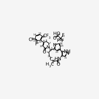 C[C@@H]1CCC[C@H](N2CCC(c3c(C(F)(F)F)ccc(Cl)c3F)=CC2=O)c2cc(ccn2)-c2[nH]ncc2NC1=O.O=C(O)C(F)(F)F